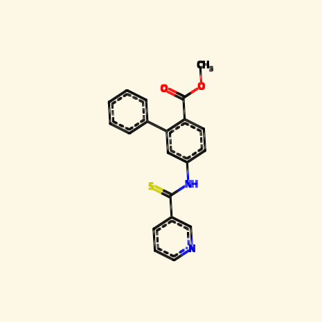 COC(=O)c1ccc(NC(=S)c2cccnc2)cc1-c1ccccc1